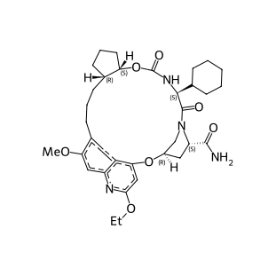 CCOc1cc2c3cc(c(OC)cc3n1)CCC[C@@H]1CCC[C@@H]1OC(=O)N[C@@H](C1CCCCC1)C(=O)N1C[C@@H](C[C@H]1C(N)=O)O2